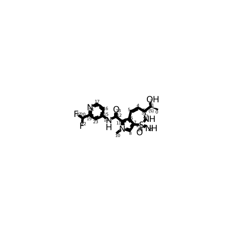 C[C@H](O)[C@H]1C=Cc2c(cn(C)c2C(=O)Nc2ccnc(C(F)F)c2)S(=N)(=O)N1